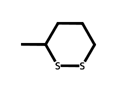 CC1CCCSS1